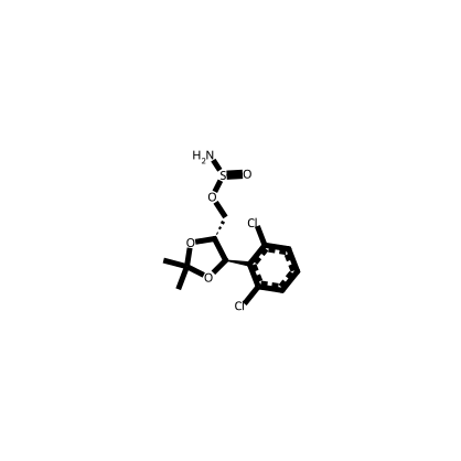 CC1(C)O[C@H](c2c(Cl)cccc2Cl)[C@@H](COS(N)=O)O1